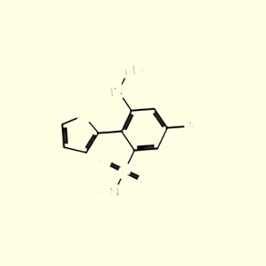 CCCCNc1cc(C(C)=O)cc(S(N)(=O)=O)c1-c1ccco1